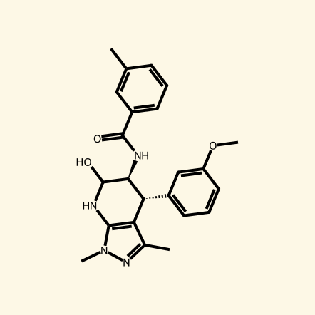 COc1cccc([C@@H]2c3c(C)nn(C)c3NC(O)[C@H]2NC(=O)c2cccc(C)c2)c1